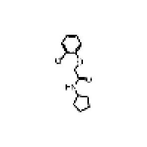 O=C(COc1ccccc1Cl)NC1CCCC1